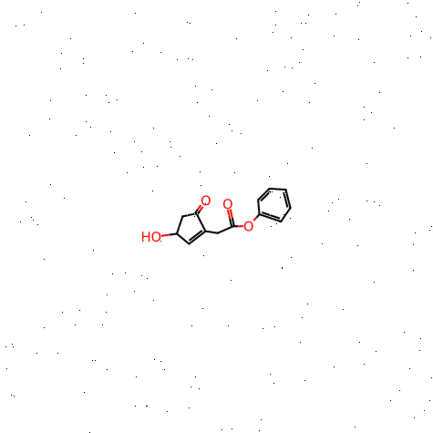 O=C(CC1=CC(O)CC1=O)Oc1ccccc1